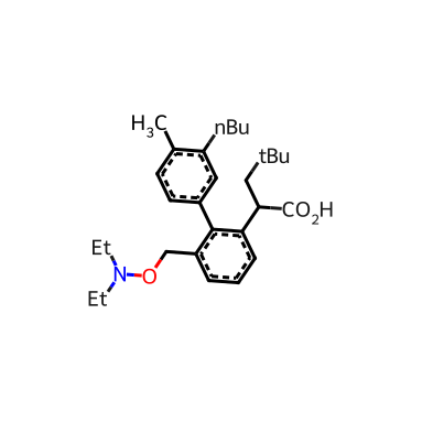 CCCCc1cc(-c2c(CON(CC)CC)cccc2C(CC(C)(C)C)C(=O)O)ccc1C